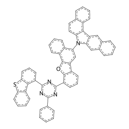 c1ccc(-c2nc(-c3cccc4c3oc3c5ccccc5c(-n5c6cc7ccccc7cc6c6c7ccccc7ccc65)cc43)nc(-c3cccc4sc5ccccc5c34)n2)cc1